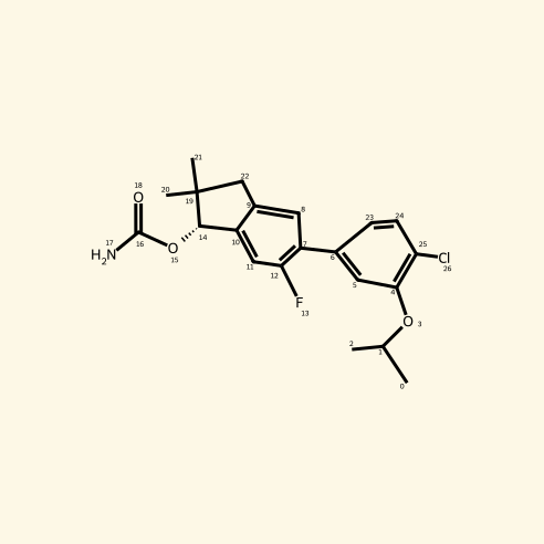 CC(C)Oc1cc(-c2cc3c(cc2F)[C@H](OC(N)=O)C(C)(C)C3)ccc1Cl